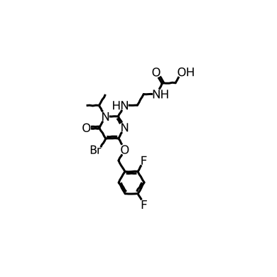 CC(C)n1c(NCCNC(=O)CO)nc(OCc2ccc(F)cc2F)c(Br)c1=O